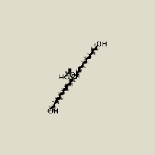 CC(O)CO.OCCCCCCCCCCCCCCOCCCCCCCCCCCCCCO